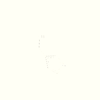 OCc1cc[c]o1